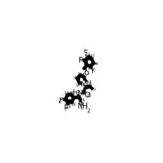 Cc1nc2c(OCc3c(F)ccc(F)c3F)cccn2c1C(=O)NC(CN)c1ccc(F)c(F)c1